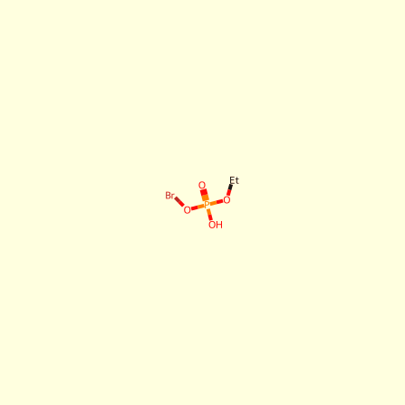 CCOP(=O)(O)OBr